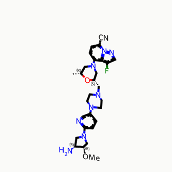 CO[C@@H]1CN(c2ccc(N3CCN(C[C@H]4CN(c5ccc(C#N)n6ncc(F)c56)C[C@@H](C)O4)CC3)cn2)C[C@H]1N